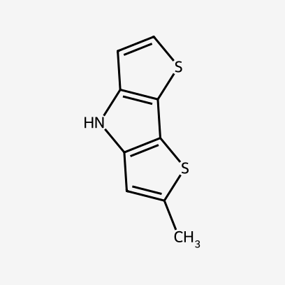 Cc1cc2[nH]c3ccsc3c2s1